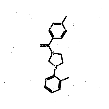 C=C(c1ccc(C)cc1)N1CCN(c2ccccc2C)C1